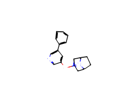 c1ccc(-c2cncc(OC3CC4CCC(C3)N4)c2)cc1